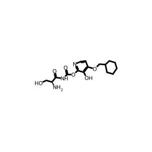 N[C@@H](CO)C(=O)NC(=O)Oc1nccc(OCC2CCCCC2)c1O